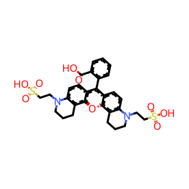 O=C(O)c1ccccc1-c1c2ccc3c(c2[o+]c2c4c(ccc12)N(CCS(=O)(=O)O)CCC4)CCCN3CCS(=O)(=O)O